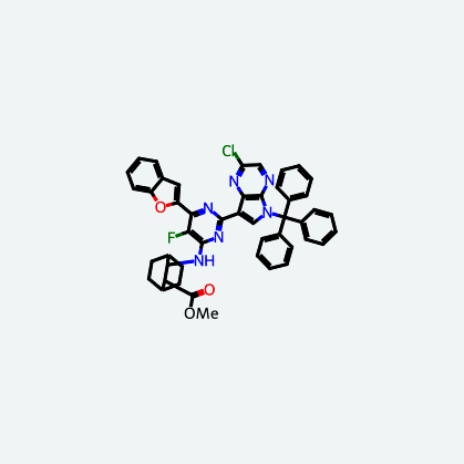 COC(=O)C1C2CCC(CC2)C1Nc1nc(-c2cn(C(c3ccccc3)(c3ccccc3)c3ccccc3)c3ncc(Cl)nc23)nc(-c2cc3ccccc3o2)c1F